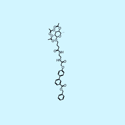 CC(=O)O[C@@H]1[C@@H](OC(C)=O)[C@H](C)O[C@@H](OCCCC(=O)NCCNC(=O)COc2ccc(-c3cccc(C(=O)OCc4ccccc4)c3)cc2)[C@@H]1OC(C)=O